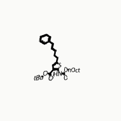 CCCCCCCCOC(=O)Nc1sc(CCCCCc2ccccc2)cc1C(=O)OC(C)(C)C